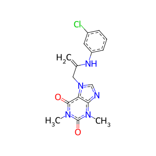 C=C(Cn1cnc2c1c(=O)n(C)c(=O)n2C)Nc1cccc(Cl)c1